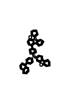 c1ccc2c(c1)Oc1ccc(-c3ccc(N(c4ccc(-c5cccc6ccccc56)cc4)c4ccc5c(c4)oc4ccccc45)cc3)c3c4ccccc4n-2c13